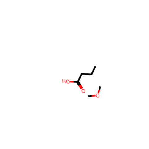 CCCC(=O)O.COC